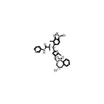 CC[C@H]1Cc2ccccc2S(=O)(=O)N(Cc2cc([C@@H](c3ccc4c(nnn4CC)c3C)C(C)(C)C(=O)Nc3cccnc3)sc2C)C1